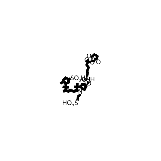 C=C(C=CC=C1N(CCCS(=O)(=O)O)c2ccc(S(=O)(=O)NCCCCCC(=O)ON3C(=O)CCC3=O)cc2C1(C)C)C(C)(C)c1cc(S(=O)(=O)O)ccc1C